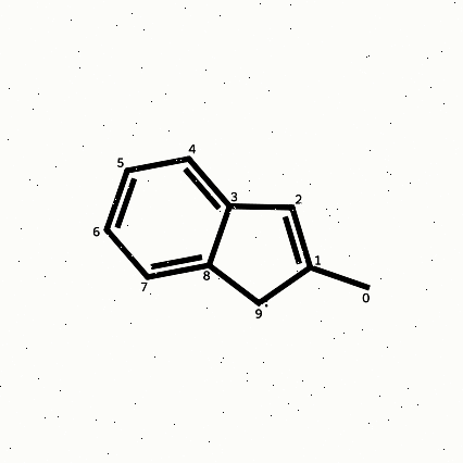 CC1=Cc2ccccc2[C]1